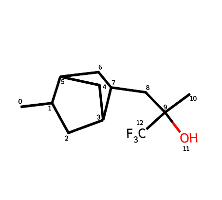 CC1CC2CC1CC2CC(C)(O)C(F)(F)F